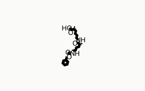 C[C@@H](CCCCNC(=O)[C@@H](C)CCCCNC(=O)OCc1ccccc1)C(=O)O